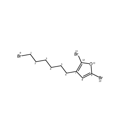 BrCCCCCCc1cc(Br)oc1Br